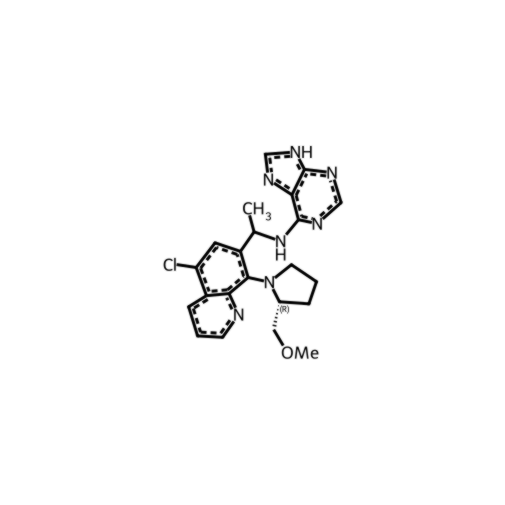 COC[C@H]1CCCN1c1c(C(C)Nc2ncnc3[nH]cnc23)cc(Cl)c2cccnc12